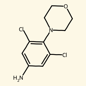 Nc1cc(Cl)c(N2CCOCC2)c(Cl)c1